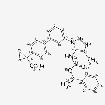 Cc1nnn(-c2cccc(-c3ccc(C4(C(=O)O)CC4)cc3)c2)c1NC(=O)O[C@H](C)c1ccccc1